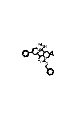 O=C(NO)C1CC2(CC2)CN(C(=O)OCc2ccccc2)C1C(=O)C1CC(c2ccccc2)=CCN1